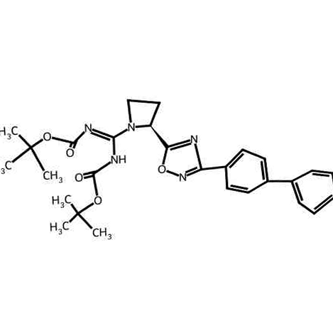 CC(C)(C)OC(=O)/N=C(\NC(=O)OC(C)(C)C)N1CC[C@H]1c1nc(-c2ccc(-c3ccccc3)cc2)no1